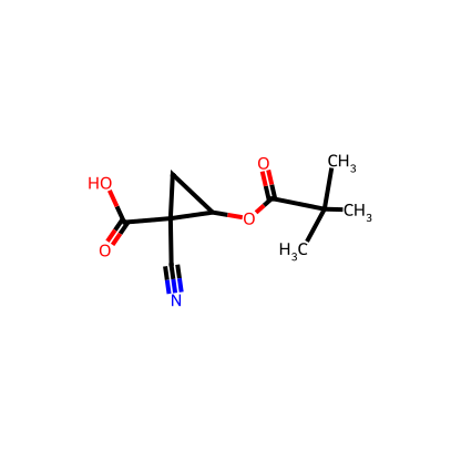 CC(C)(C)C(=O)OC1CC1(C#N)C(=O)O